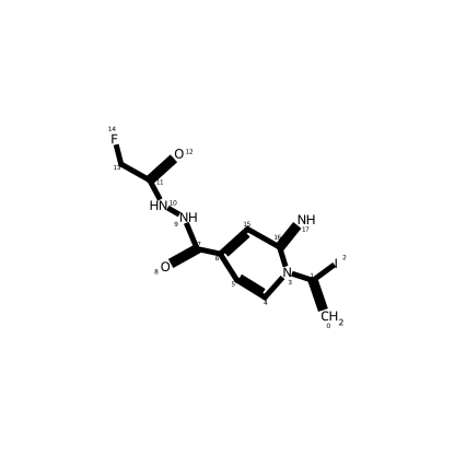 C=C(I)n1ccc(C(=O)NNC(=O)CF)cc1=N